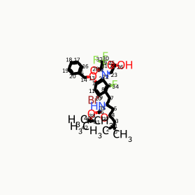 CC(C)CCCC(Cc1c(Br)cc(OCc2ccccc2)c(N(CC(=O)O)C(=O)C(F)(F)F)c1F)NC(=O)OC(C)(C)C